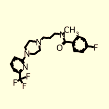 CN(CCCN1CCN(c2cccc(C(F)(F)F)n2)CC1)C(=O)c1ccc(F)cc1